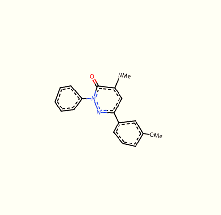 CNc1cc(-c2cccc(OC)c2)nn(-c2ccccc2)c1=O